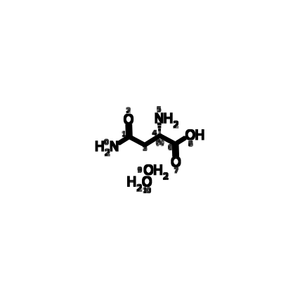 NC(=O)C[C@H](N)C(=O)O.O.O